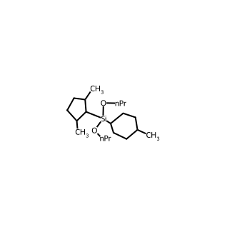 CCCO[Si](OCCC)(C1CCC(C)CC1)C1C(C)CCC1C